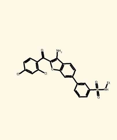 CCNS(=O)(=O)c1cccc(-c2ccc3c(N)c(C(=O)c4ccc(Cl)cc4Cl)oc3c2)c1